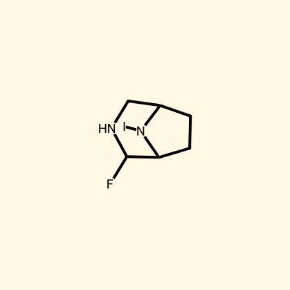 FC1NCC2CCC1N2I